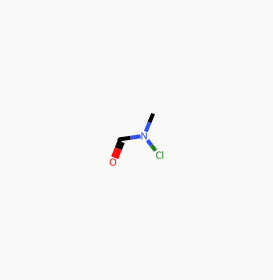 CN(Cl)[C]=O